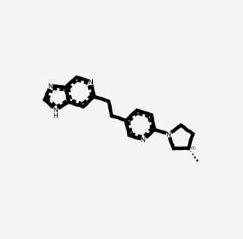 C[C@H]1CCN(c2ccc(CCc3cc4[nH]cnc4cn3)cn2)C1